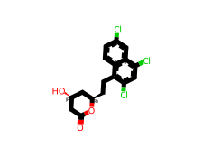 O=C1C[C@H](O)C[C@@H](CCc2c(Cl)cc(Cl)c3cc(Cl)ccc23)O1